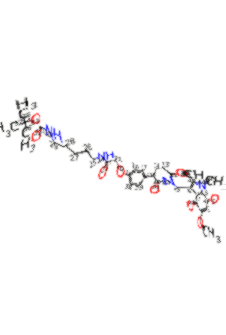 COC1=CC(=O)c2c(c(CN3C(=O)CCC(c4ccc(OCC(=O)NCCCCCNC(=O)OC(C)(C)C)cc4)C3=O)c(C)n2C)C1=O